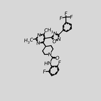 Cc1nc(C)c(-c2nc(-c3cccc(C(F)(F)F)c3)no2)c(C2CCN(C(=O)Nc3c(F)cccc3F)CC2)n1